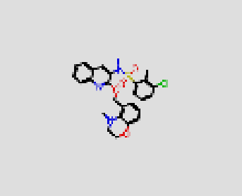 Cc1c(Cl)cccc1S(=O)(=O)Nc1cc2ccccc2nc1OCc1cccc2c1N(C)CCO2